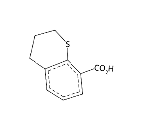 O=C(O)c1cccc2c1SCCC2